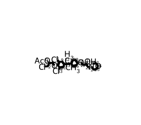 CC(=O)O[C@H](CCl)COc1c(Cl)cc(C(C)(C)c2ccc(OC[C@@H](O)CN3CCOCC3)cc2)cc1Cl